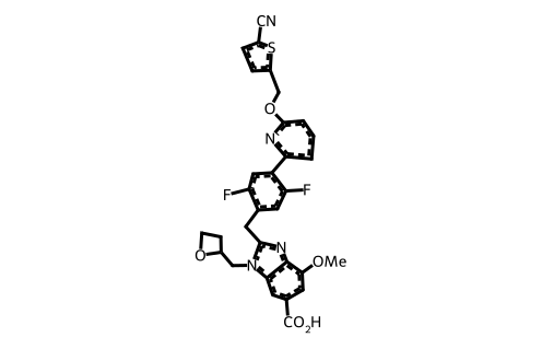 COc1cc(C(=O)O)cc2c1nc(Cc1cc(F)c(-c3cccc(OCc4ccc(C#N)s4)n3)cc1F)n2CC1CCO1